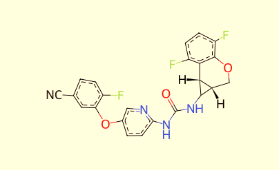 N#Cc1ccc(F)c(Oc2ccc(NC(=O)NC3[C@H]4COc5c(F)ccc(F)c5[C@@H]34)nc2)c1